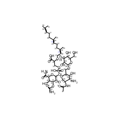 CC(=O)NC1[C@H](O[C@@H]2C(OP(=O)(O)OCC(OC/C=C(/C)CC/C=C(\C)CCC=C(C)C)C(=O)O)OC(C(N)=O)C(O)[C@@H]2OC(N)=O)OC(CO[C@@H]2OC(CO)[C@@H](O)[C@H](O)C2O)[C@@H](O)[C@@H]1N